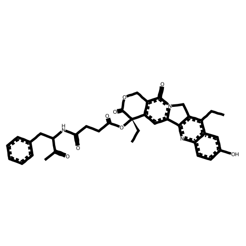 CCc1c2c(nc3ccc(O)cc13)-c1cc3c(c(=O)n1C2)COC(=O)[C@@]3(CC)OC(=O)CCC(=O)NC(Cc1ccccc1)C(C)=O